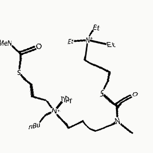 CCCC[N+](CCC)(CCCN(C)C(=O)SCC[N+](CC)(CC)CC)CCSC(=O)NC